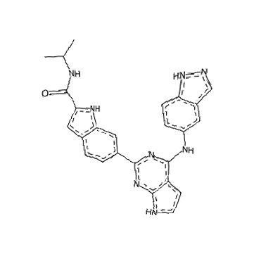 CC(C)NC(=O)c1cc2ccc(-c3nc(Nc4ccc5[nH]ncc5c4)c4cc[nH]c4n3)cc2[nH]1